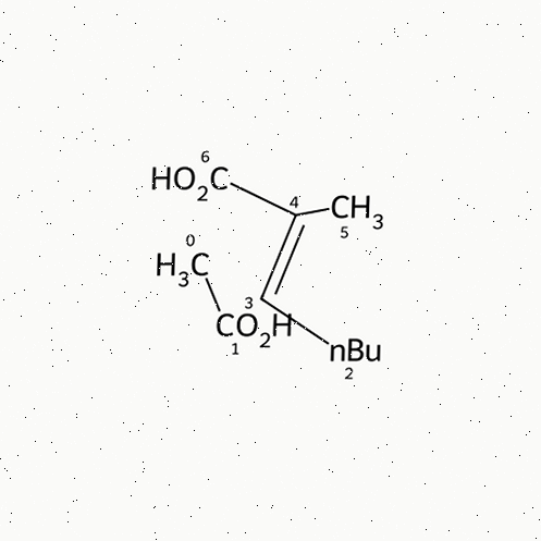 CC(=O)O.CCCCC=C(C)C(=O)O